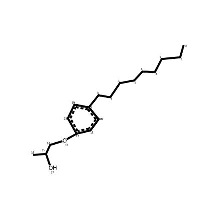 CCCCCCCCCc1ccc(OCC(C)O)cc1